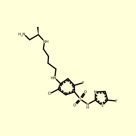 C[C@H](CN)NCCCCNc1cc(F)c(S(=O)(=O)Nc2ncc(F)s2)cc1Cl